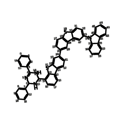 c1ccc(C2=NC(c3ccccc3)NC(c3cccc4c3sc3cc(-c5ccc6sc7ccc(-n8c9ccccc9c9ccccc98)cc7c6c5)ccc34)N2)cc1